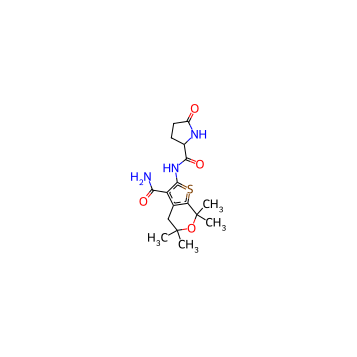 CC1(C)Cc2c(sc(NC(=O)C3CCC(=O)N3)c2C(N)=O)C(C)(C)O1